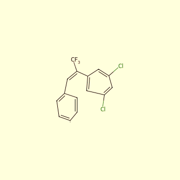 FC(F)(F)C(=Cc1cc[c]cc1)c1cc(Cl)cc(Cl)c1